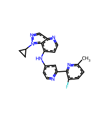 Cc1ccc(F)c(-c2cc(Nc3ccnc4cnn(C5CC5)c34)ccn2)n1